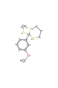 COc1cccc(C2(SC)SCCCS2)c1